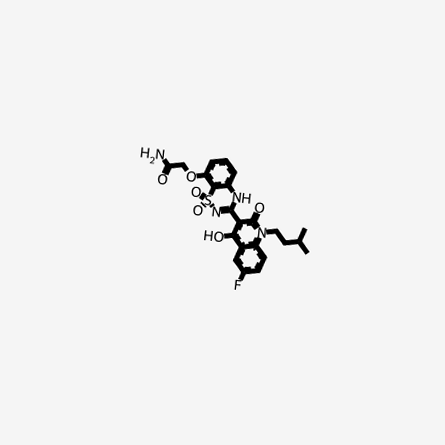 CC(C)CCn1c(=O)c(C2=NS(=O)(=O)c3c(cccc3OCC(N)=O)N2)c(O)c2cc(F)ccc21